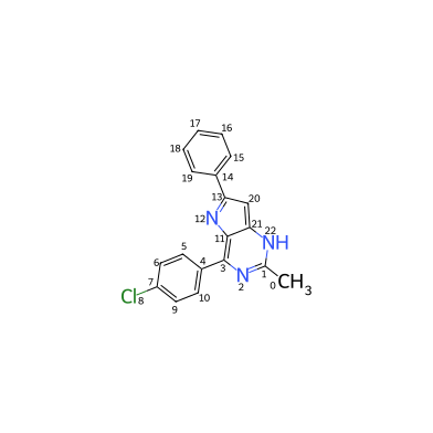 Cc1nc(-c2ccc(Cl)cc2)c2nc(-c3ccccc3)cc-2[nH]1